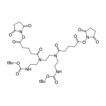 CC(C)(C)OC(=O)NCCN(CCN(CCNC(=O)OC(C)(C)C)C(=O)CCCC(=O)ON1C(=O)CCC1=O)C(=O)CCCC(=O)ON1C(=O)CCC1=O